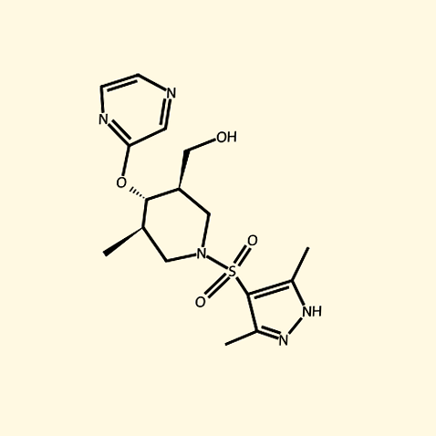 Cc1n[nH]c(C)c1S(=O)(=O)N1C[C@H](CO)[C@@H](Oc2cnccn2)[C@H](C)C1